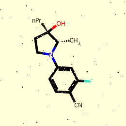 CCC[C@]1(O)CCN(c2ccc(C#N)c(F)c2)[C@H]1C